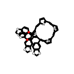 C1=Cc2cc3c(-c4ccc5c(c4)OCO5)c(-c4ccc5c(c4)OCO5)c(c(-c4ccc5c(c4)OCO5)c4nc(cc5ccc(cc1n2)[nH]5)C=C4)n3-c1ccc2c(c1)OCO2